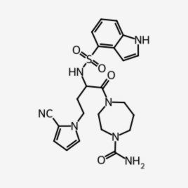 N#Cc1cccn1CCC(NS(=O)(=O)c1cccc2[nH]ccc12)C(=O)N1CCCN(C(N)=O)CC1